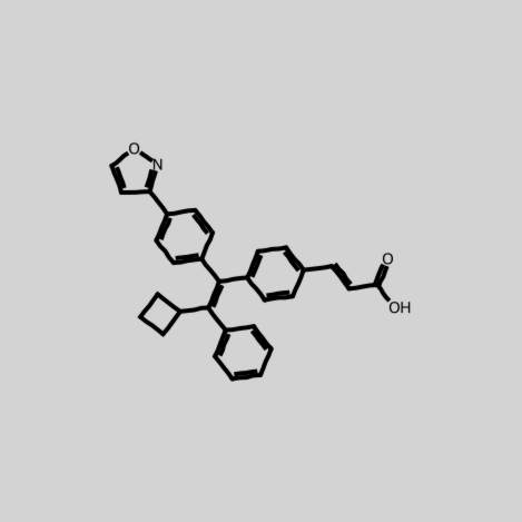 O=C(O)C=Cc1ccc(C(=C(c2ccccc2)C2CCC2)c2ccc(-c3ccon3)cc2)cc1